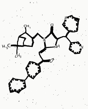 CC1C(CN2C(=O)C(C(c3cccnc3)c3cccnc3)NC2=CC(=O)c2ccc(-c3ccccc3)cc2)CC2CC1C2(C)C